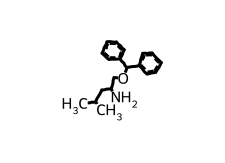 CC(C)CC(N)COC(c1ccccc1)c1ccccc1